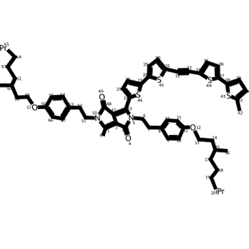 CC1=C2C(=O)N(CCc3ccc(OCCC(C)CCCC(C)C)cc3)C(c3ccc(-c4ccc(C#Cc5ccc(-c6ccc(C)s6)s5)s4)s3)=C2C(=O)N1CCc1ccc(OCCC(C)CCCC(C)C)cc1